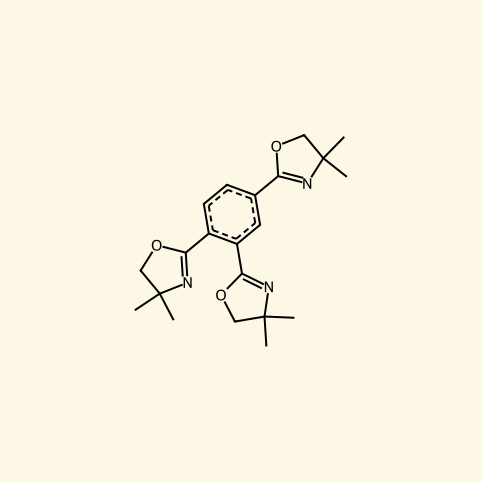 CC1(C)COC(c2ccc(C3=NC(C)(C)CO3)c(C3=NC(C)(C)CO3)c2)=N1